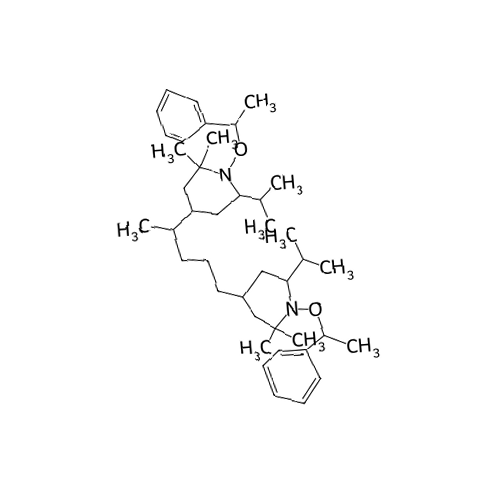 CC(ON1C(C(C)C)CC(CCCC(C)C2CC(C(C)C)N(OC(C)c3ccccc3)C(C)(C)C2)CC1(C)C)c1ccccc1